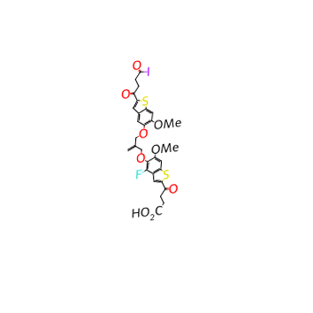 C=C(COc1cc2cc(C(=O)CCC(=O)I)sc2cc1OC)COc1c(OC)cc2sc(C(=O)CCC(=O)O)cc2c1F